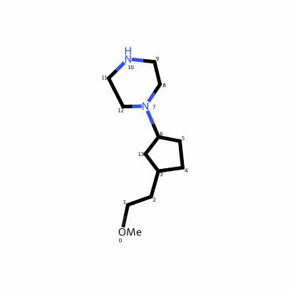 COCCC1CCC(N2CCNCC2)C1